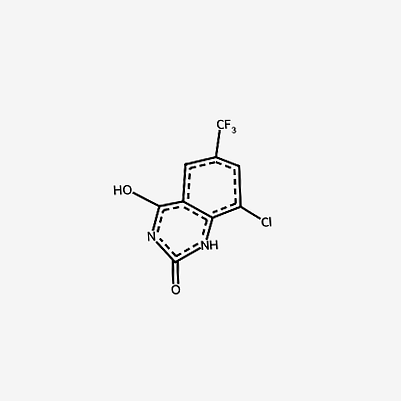 O=c1nc(O)c2cc(C(F)(F)F)cc(Cl)c2[nH]1